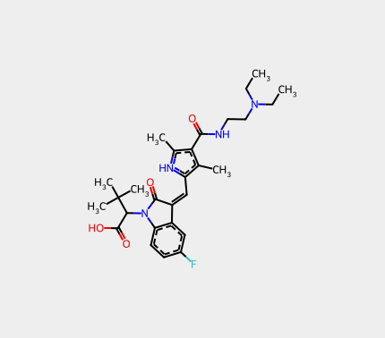 CCN(CC)CCNC(=O)c1c(C)[nH]c(C=C2C(=O)N(C(C(=O)O)C(C)(C)C)c3ccc(F)cc32)c1C